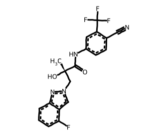 C[C@](O)(Cn1cc2c(F)cccc2n1)C(=O)Nc1ccc(C#N)c(C(F)(F)F)c1